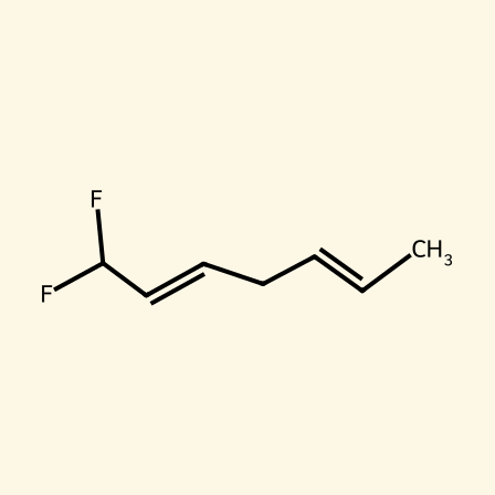 CC=CCC=CC(F)F